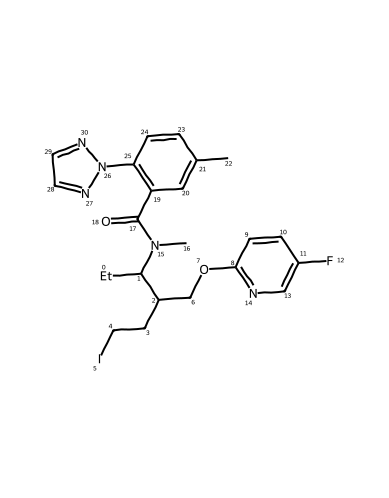 CCC(C(CCI)COc1ccc(F)cn1)N(C)C(=O)c1cc(C)ccc1-n1nccn1